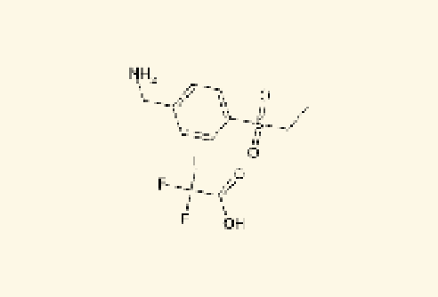 CCS(=O)(=O)c1ccc(CN)cc1.O=C(O)C(F)(F)F